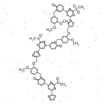 COc1ccc(Cn2cc(-c3cc(-n4ccc(COc5cc(Cn6cc(-c7cc(-c8cnc(COc9cc(Cn%10cc(-c%11cc(-c%12nccs%12)nc([S+](C)[O-])n%11)ccc%10=O)ccc9OC)s8)nc([S+](C)[O-])n7)ccc6=O)ccc5OC)c4)nc(S(C)(=O)=O)n3)ccc2=O)cc1OC